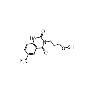 O=c1[nH]c2ccc(C(F)(F)F)cc2c(=O)n1CCCOS